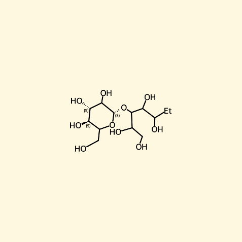 CCC(O)C(O)C(O[C@@H]1OC(CO)[C@@H](O)[C@H](O)C1O)C(O)CO